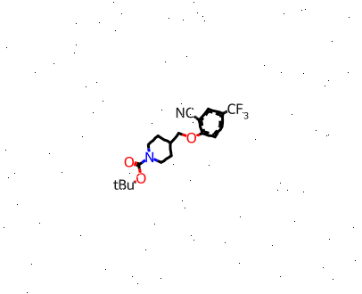 CC(C)(C)OC(=O)N1CCC(COc2ccc(C(F)(F)F)cc2C#N)CC1